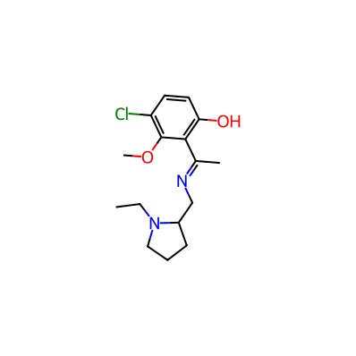 CCN1CCCC1C/N=C(\C)c1c(O)ccc(Cl)c1OC